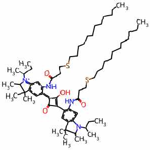 CCCCCCCCCCCCSCCC(=O)Nc1cc2c(cc1C1=C(O)/C(=c3/cc4c(cc3NC(=O)CCSCCCCCCCCCCCC)=[N+](C(C)CC)C(C)C4(C)C)C1=O)C(C)(C)C(C)N2C(C)CC